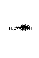 CCCCCCOC(=O)CC(CC(=O)O)(N=O)C(=O)O